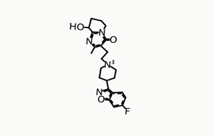 Cc1nc2n(c(=O)c1CC[N+]1(C)CCC(c3noc4cc(F)ccc34)CC1)CCCC2O